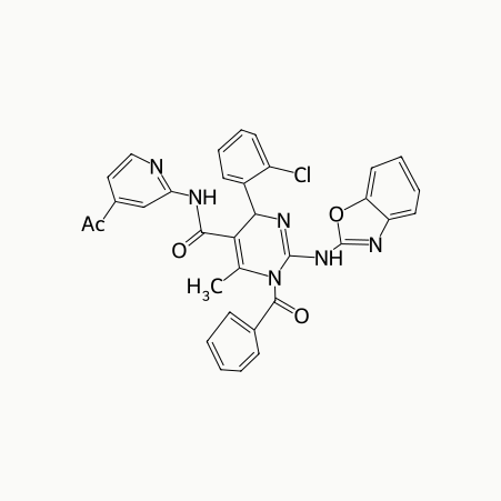 CC(=O)c1ccnc(NC(=O)C2=C(C)N(C(=O)c3ccccc3)C(Nc3nc4ccccc4o3)=NC2c2ccccc2Cl)c1